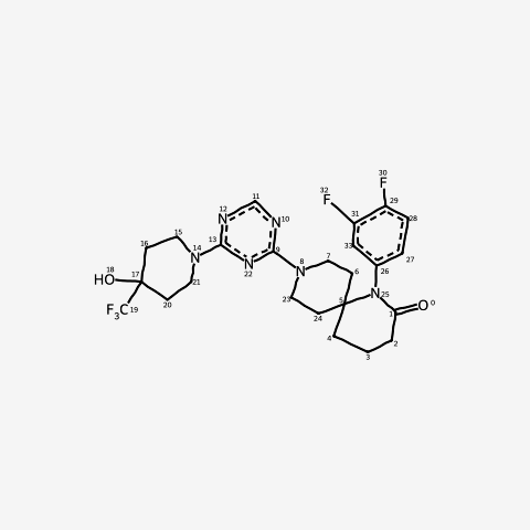 O=C1CCCC2(CCN(c3ncnc(N4CCC(O)(C(F)(F)F)CC4)n3)CC2)N1c1ccc(F)c(F)c1